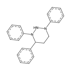 c1ccc(C2CCN(c3ccccc3)NN2c2ccccc2)cc1